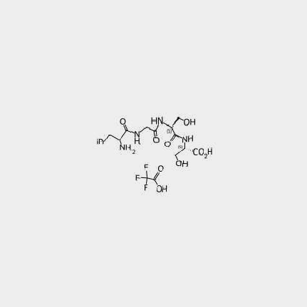 CC(C)CC(N)C(=O)NCC(=O)N[C@@H](CO)C(=O)N[C@@H](CO)C(=O)O.O=C(O)C(F)(F)F